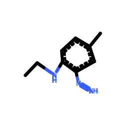 CCNc1ccc(C)cc1N=N